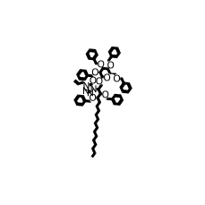 C=CCn1nnn(C(CO[C@H]2O[C@H](COCc3ccccc3)[C@H](OCc3ccccc3)[C@H](OCc3ccccc3)[C@H]2OCc2ccccc2)C(OCc2ccccc2)C(CCCCCCCCCCCCCC)OCc2ccccc2)c1=O